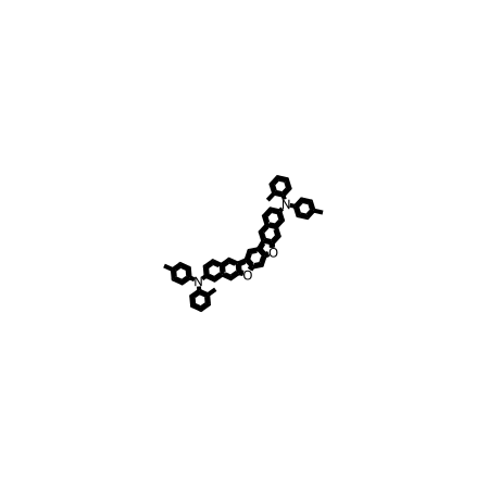 Cc1ccc(N(c2ccc3cc4c(cc3c2)oc2cc3oc5cc6cc(N(c7ccc(C)cc7)c7ccccc7C)ccc6cc5c3cc24)c2ccccc2C)cc1